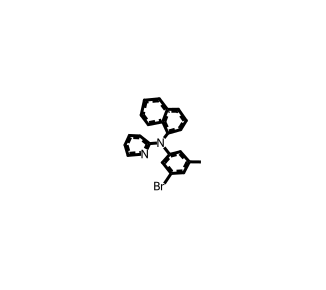 Cc1cc(Br)cc(N(c2ccccn2)c2cccc3ccccc23)c1